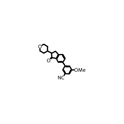 COc1cc(C#N)cc(-c2ccc3c(c2)C(=O)C(C2CCOCC2)C3)c1